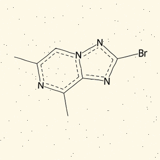 Cc1cn2nc(Br)nc2c(C)n1